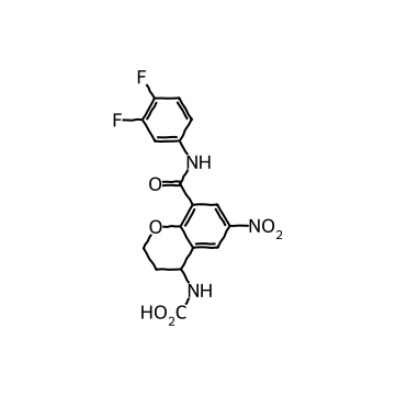 O=C(O)NC1CCOc2c(C(=O)Nc3ccc(F)c(F)c3)cc([N+](=O)[O-])cc21